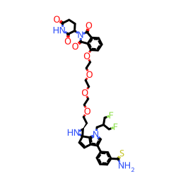 NC(=S)c1cccc(-c2cn(CC(CF)CF)c3c2C=CC32N[C@H]2CCOCCOCCOCCOc2cccc3c2C(=O)N(C2CCC(=O)NC2=O)C3=O)c1